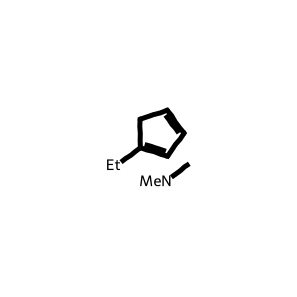 CCC1=CC=CC1.CNC